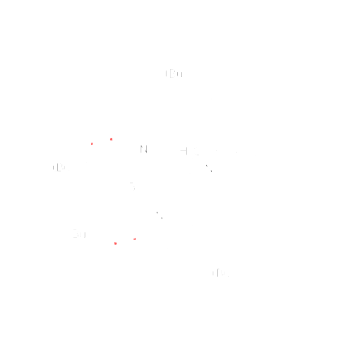 CC(C)(C)c1ccc2c(c1)B1c3cc(C(C)(C)C)ccc3N(c3ccc(C(C)(C)C)cc3-c3ccccc3)c3cc(N4c5ccccc5C5(c6ccccc6)Cc6ccccc6CC45C)cc(c31)N2c1ccc(C(C)(C)C)cc1-c1ccccc1